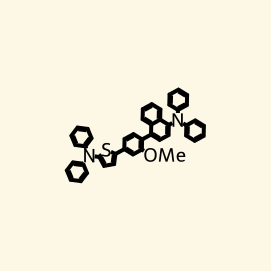 COc1cc(-c2ccc(N(c3ccccc3)c3ccccc3)s2)ccc1-c1ccc(N(c2ccccc2)c2ccccc2)c2ccccc12